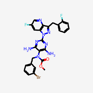 COC(=O)N(Cc1cccc(Br)c1)c1c(N)nc(-n2nc(Cc3ccccc3F)c3ncc(F)cc32)nc1N